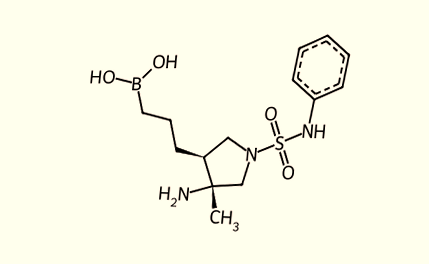 C[C@]1(N)CN(S(=O)(=O)Nc2ccccc2)C[C@@H]1CCCB(O)O